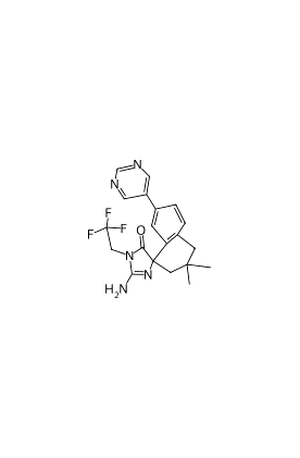 CC1(C)Cc2ccc(-c3cncnc3)cc2C2(C1)N=C(N)N(CC(F)(F)F)C2=O